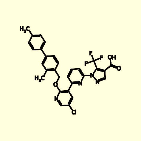 Cc1ccc(-c2ccc(COc3ncc(Cl)cc3-c3cccc(-n4ncc(C(=O)O)c4C(F)(F)F)n3)c(C)c2)cc1